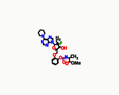 COC(=O)C(C)/N=[P+](\[O-])Oc1ccccc1OC[C@H]1OC(n2cnc3c(N4CCCCC4)ncnc32)[C@](C)(F)[C@@H]1O